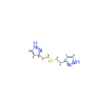 c1cc(CCSCCc2cc[nH]n2)n[nH]1